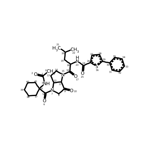 CC(=O)NC1(C(=O)N2CC(=O)C3C2CCN3C(=O)C(CC(C)C)NC(=O)c2ccc(-c3ccccc3)s2)CCCCC1